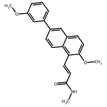 CNC(=O)/C=C/c1c(OC)ccc2cc(-c3cccc(OC)c3)ccc12